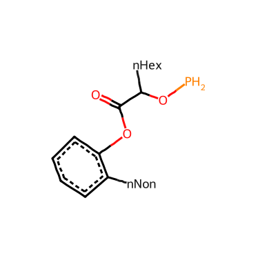 CCCCCCCCCc1ccccc1OC(=O)C(CCCCCC)OP